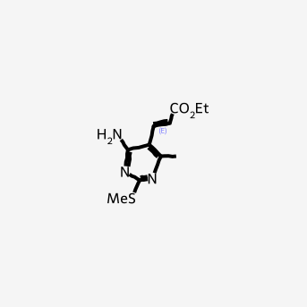 CCOC(=O)/C=C/c1c(C)nc(SC)nc1N